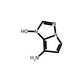 Nc1ccn2ncn(O)c12